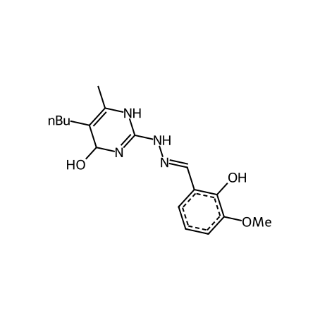 CCCCC1=C(C)NC(N/N=C/c2cccc(OC)c2O)=NC1O